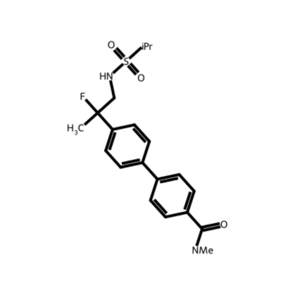 CNC(=O)c1ccc(-c2ccc(C(C)(F)CNS(=O)(=O)C(C)C)cc2)cc1